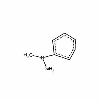 CN([SiH3])c1ccccc1